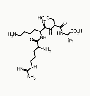 CC(C)[C@H](NC(=O)[C@H](CC(=O)O)NC(=O)[C@H](CCCCN)NC(=O)[C@@H](N)CCCNC(=N)N)C(=O)O